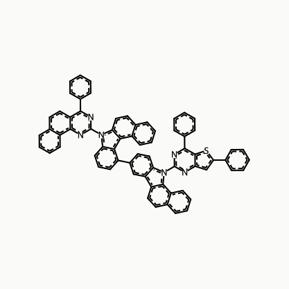 c1ccc(-c2cc3nc(-n4c5ccc(-c6cccc7c6c6c8ccccc8ccc6n7-c6nc(-c7ccccc7)c7ccc8ccccc8c7n6)cc5c5ccc6ccccc6c54)nc(-c4ccccc4)c3s2)cc1